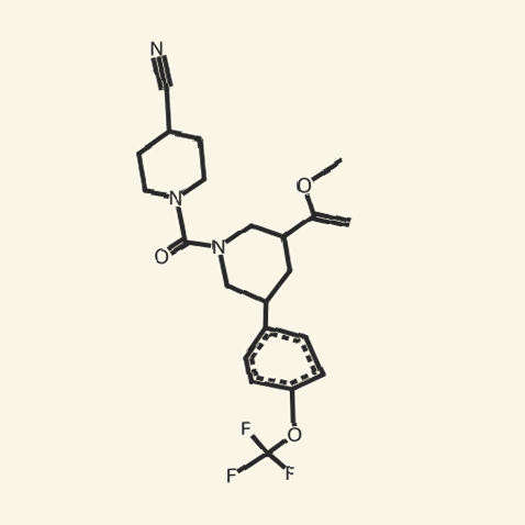 C=C(OC)C1CC(c2ccc(OC(F)(F)F)cc2)CN(C(=O)N2CCC(C#N)CC2)C1